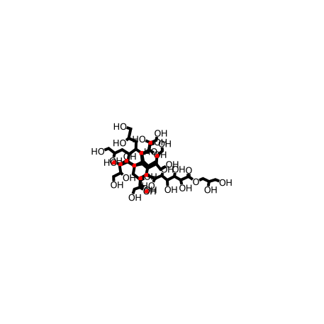 O=C(OCC(O)CO)C(O)C(O)C(O)C(O)C(O)C(CC(O)CO)C(CC(O)CO)C(CC(O)CO)C(CC(O)CO)C(CC(O)CO)C(CC(O)CO)C(CC(O)CO)C(CC(O)CO)C(CCCO)CC(O)CO